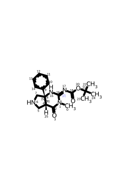 CN1C(=O)[C@@H]2CNC[C@]2(c2ccccc2)N/C1=N/C(=O)OC(C)(C)C